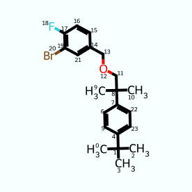 CC(C)(C)c1ccc(C(C)(C)COCc2ccc(F)c(Br)c2)cc1